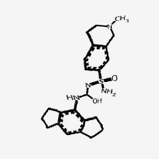 CN1CCc2ccc(S(N)(=O)=NC(O)Nc3c4c(cc5c3CCC5)CCC4)cc2C1